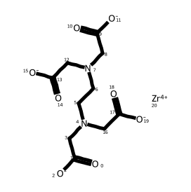 O=C([O-])CN(CCN(CC(=O)[O-])CC(=O)[O-])CC(=O)[O-].[Zr+4]